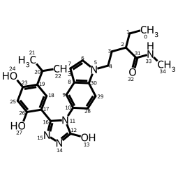 CCC(CCn1ccc2cc(-n3c(O)nnc3-c3cc(C(C)C)c(O)cc3O)ccc21)C(=O)NC